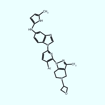 CC(=O)c1ccc(-n2cnc3cc(Nc4ccc(C)[nH]4)ccc32)nc1-n1nc(C(F)(F)F)c2c1CCN(C1COC1)C2